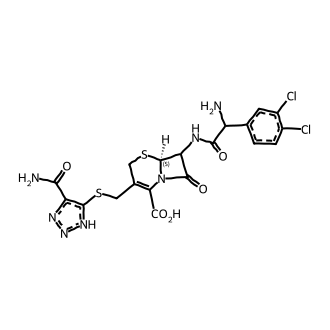 NC(=O)c1nn[nH]c1SCC1=C(C(=O)O)N2C(=O)C(NC(=O)C(N)c3ccc(Cl)c(Cl)c3)[C@@H]2SC1